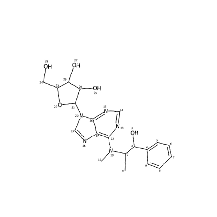 CC(C(O)c1ccccc1)N(C)c1ncnc2c1ncn2C1OC(CO)C(O)C1O